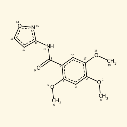 COc1cc(OC)c(C(=O)Nc2ccon2)cc1OC